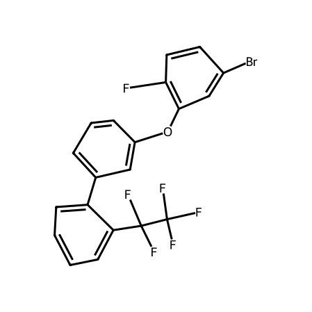 Fc1ccc(Br)cc1Oc1cccc(-c2ccccc2C(F)(F)C(F)(F)F)c1